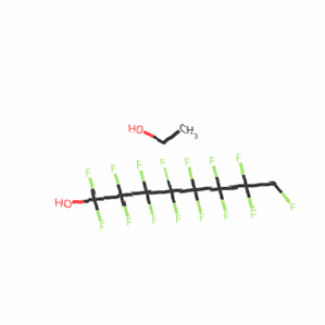 CCO.OC(F)(F)C(F)(F)C(F)(F)C(F)(F)C(F)(F)C(F)(F)C(F)(F)CF